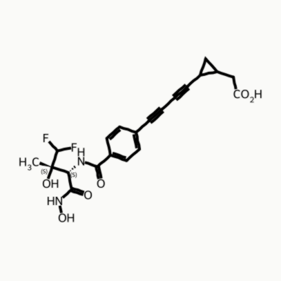 C[C@@](O)(C(F)F)[C@H](NC(=O)c1ccc(C#CC#CC2CC2CC(=O)O)cc1)C(=O)NO